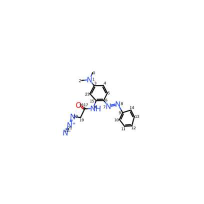 CN(C)c1ccc(/N=N/c2ccccc2)c(NC(=O)CN=[N+]=[N-])c1